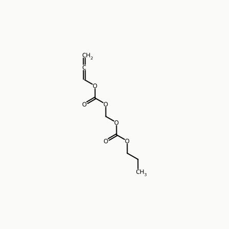 C=C=COC(=O)OCOC(=O)OCCC